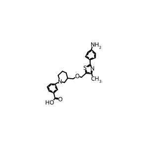 Cc1nc(-c2ccc(N)cc2)sc1COCC1CCCN(c2cccc(C(=O)O)c2)C1